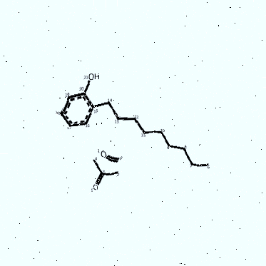 C=O.CC(C)=O.CCCCCCCCCc1ccccc1O